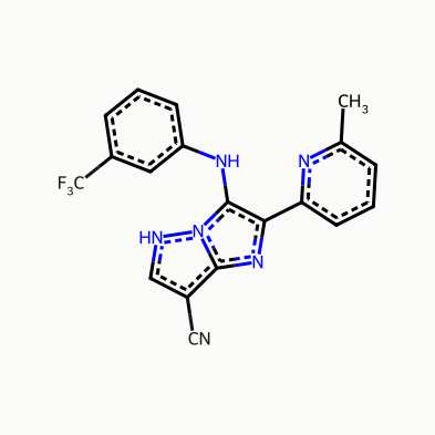 Cc1cccc(-c2nc3c(C#N)c[nH]n3c2Nc2cccc(C(F)(F)F)c2)n1